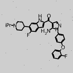 CC(C)N1CCC(c2cc3[nH]c(C(=O)c4cnn(-c5ccc(Oc6ccccc6F)cc5)c4N)cc3cc2F)CC1